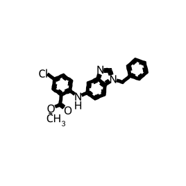 COC(=O)c1cc(Cl)ccc1Nc1ccc2c(c1)ncn2Cc1ccccc1